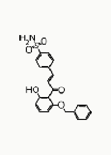 NS(=O)(=O)c1ccc(/C=C/C(=O)c2c(O)cccc2OCc2ccccc2)cc1